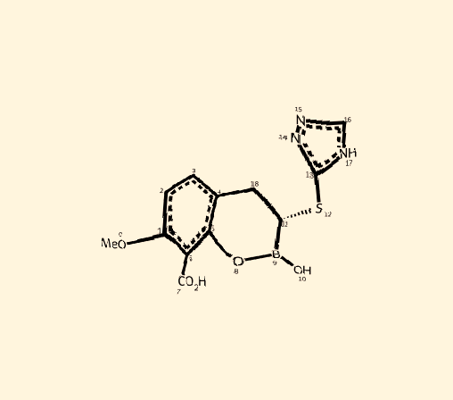 COc1ccc2c(c1C(=O)O)OB(O)[C@@H](Sc1nnc[nH]1)C2